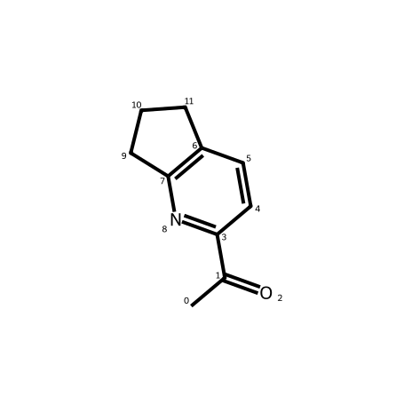 CC(=O)c1ccc2c(n1)CCC2